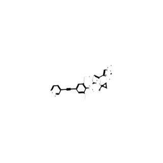 CN(c1c(F)cc(C#Cc2cccnc2)cc1F)c1ncc(-c2cn(C)cn2)n1C1(C=O)CC1